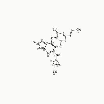 CCc1cc(/C=C/C#N)cc(Cl)c1Oc1nc(NC23CC(C#N)(C2)C3)nc2nn(C)cc12